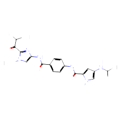 CC(C)Nc1cc(C(=O)Nc2ccc(C(=O)Nc3cn(C)c(C(=O)C(C)C)n3)cc2)n(C)c1